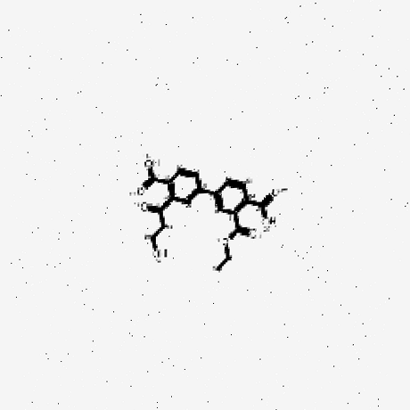 CCOC(=O)c1cc(-c2ccc(C(=O)O)c(C(=O)CCO)c2)ccc1C(=O)O